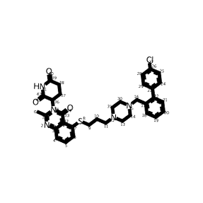 Cc1nc2cccc(SCCCN3CCN(Cc4ccccc4-c4ccc(Cl)cc4)CC3)c2c(=O)n1C1CCC(=O)NC1=O